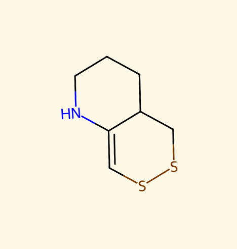 C1=C2NCCCC2CSS1